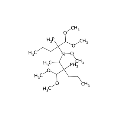 CCCC(P)(C(OC)OC)C(C)N(OC)C(P)(CCC)C(OC)OC